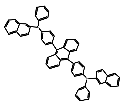 c1ccc(N(c2ccc(-c3c4ccccc4c(-c4ccc(N(c5ccccc5)c5ccc6ccccc6c5)cc4)c4ccccc34)cc2)c2ccc3ccccc3c2)cc1